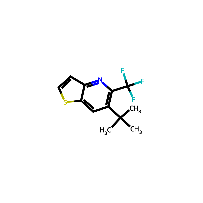 CC(C)(C)c1cc2sccc2nc1C(F)(F)F